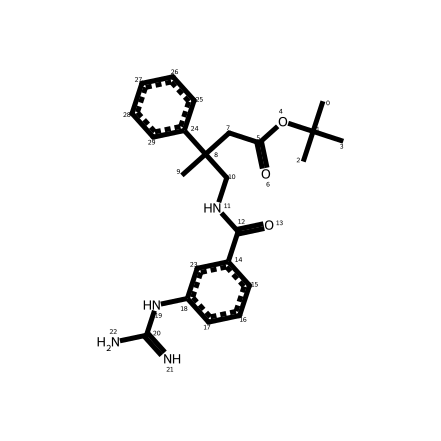 CC(C)(C)OC(=O)CC(C)(CNC(=O)c1cccc(NC(=N)N)c1)c1ccccc1